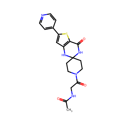 CC(=O)NCC(=O)N1CCC2(CC1)NC(=O)c1sc(-c3ccncc3)cc1N2